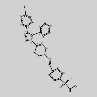 CC(C)NS(=O)(=O)c1ccc(C=CN2CC=C(c3c[nH]c(-c4ccc(F)cc4)c3-c3ccncc3)CC2)cc1